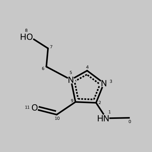 CNc1ncn(CCO)c1C=O